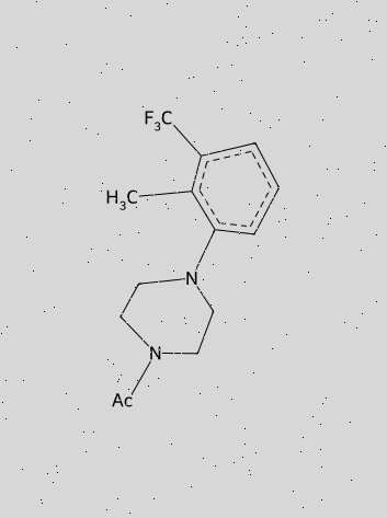 CC(=O)N1CCN(c2cccc(C(F)(F)F)c2C)CC1